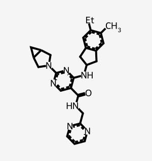 CCc1cc2c(cc1C)CC(Nc1nc(N3CC4CC4C3)ncc1C(=O)NCc1ncccn1)C2